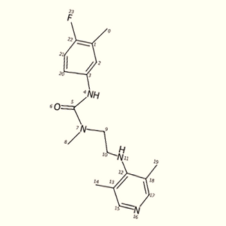 Cc1cc(NC(=O)N(C)CCNc2c(C)cncc2C)ccc1F